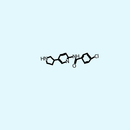 O=C(Nc1ccc(C2CCNC2)cn1)c1ccc(Cl)cc1